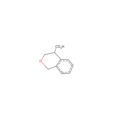 O=C(O)C1COCc2ccccc21